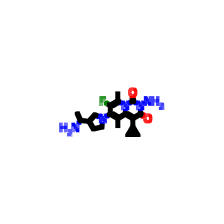 Cc1c(N2CCC(C(C)N)C2)c(F)c(C)n2c(=O)n(N)c(=O)c(C3CC3)c12